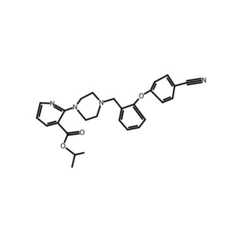 CC(C)OC(=O)c1cccnc1N1CCN(Cc2ccccc2Oc2ccc(C#N)cc2)CC1